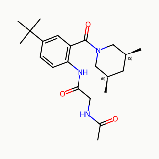 CC(=O)NCC(=O)Nc1ccc(C(C)(C)C)cc1C(=O)N1C[C@H](C)C[C@H](C)C1